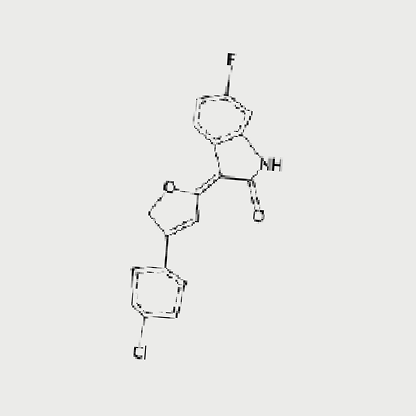 O=C1Nc2cc(F)ccc2/C1=C1/C=C(c2ccc(Cl)cc2)CO1